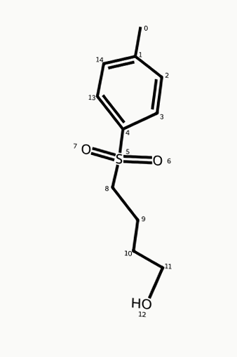 Cc1ccc(S(=O)(=O)CCCCO)cc1